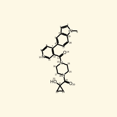 Cn1ccc2cc(-c3ccncc3C(=O)N3CCN(C(=O)C4(O)CC4)CC3)ccc21